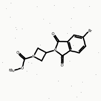 CC(C)(C)OC(=O)N1CC(N2C(=O)c3ccc(Br)cc3C2=O)C1